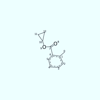 Cc1ccccc1C(=O)OC1CC1